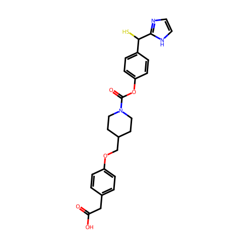 O=C(O)Cc1ccc(OCC2CCN(C(=O)Oc3ccc(C(S)c4ncc[nH]4)cc3)CC2)cc1